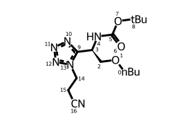 CCCCOC[C@H](NC(=O)OC(C)(C)C)c1nnnn1CCC#N